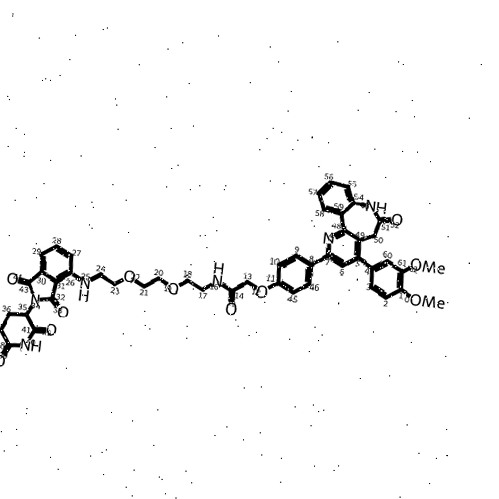 COc1ccc(-c2cc(-c3ccc(OCC(=O)NCCOCCOCCNc4cccc5c4C(=O)N(C4CCC(=O)NC4=O)C5=O)cc3)nc3c2CC(=O)Nc2ccccc2-3)cc1OC